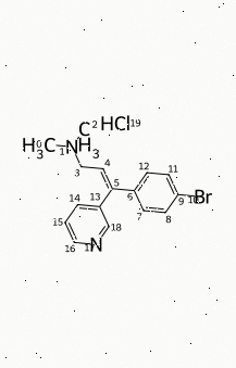 CN(C)CC=C(c1ccc(Br)cc1)c1cccnc1.Cl